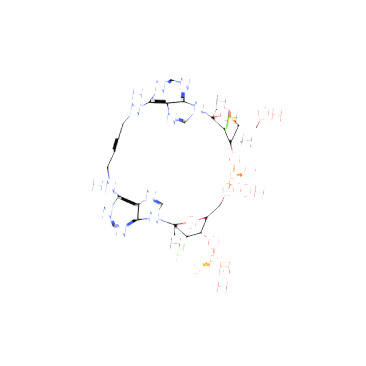 O=P1(O)OCC2O[C@H]([C@H](F)[C@@H]2O[PH](O)=S)n2cnc3c(ncnc32)NC/C=C/CNc2ncnc3c2ncn3[C@@H]2O[C@H](CO)[C@@H](O1)[C@H]2F